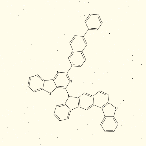 c1ccc(-c2ccc3cc(-c4nc(-n5c6ccccc6c6cc7c(ccc8oc9ccccc9c87)cc65)c5sc6ccccc6c5n4)ccc3c2)cc1